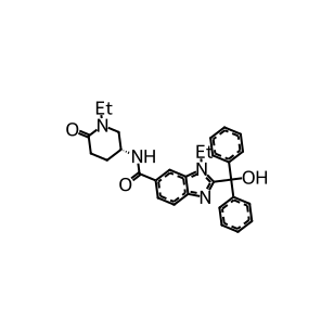 CCN1C[C@H](NC(=O)c2ccc3nc(C(O)(c4ccccc4)c4ccccc4)n(CC)c3c2)CCC1=O